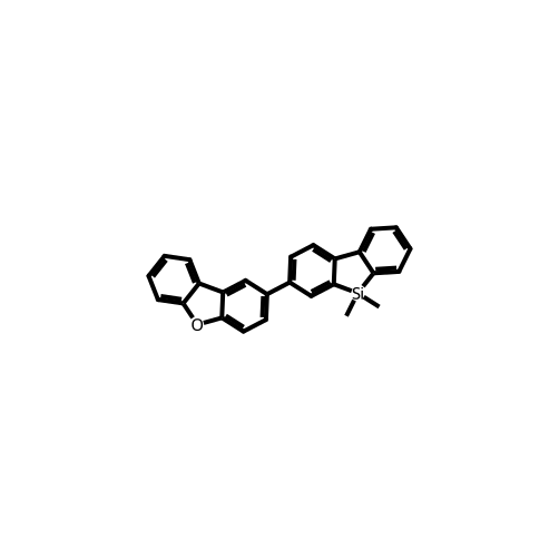 C[Si]1(C)c2ccccc2-c2ccc(-c3ccc4oc5ccccc5c4c3)cc21